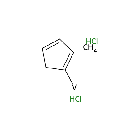 C.Cl.Cl.[V][C]1=CC=CC1